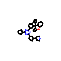 c1ccc(-c2nc(-c3cccc(-c4ccncc4)c3)nc(-c3ccc4c(c3)C3(c5ccccc5Oc5ccccc53)c3ccccc3-4)n2)cc1